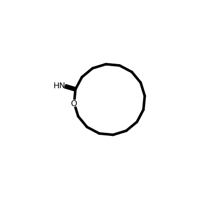 N=C1CCCCCCCCCCCCCCO1